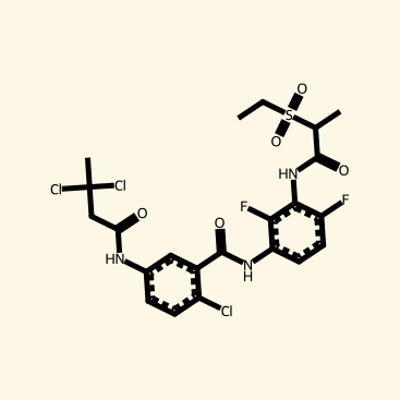 CCS(=O)(=O)C(C)C(=O)Nc1c(F)ccc(NC(=O)c2cc(NC(=O)CC(C)(Cl)Cl)ccc2Cl)c1F